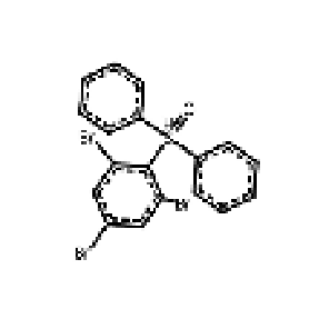 O=[SH](c1ccccc1)(c1ccccc1)c1c(Br)cc(Br)cc1Br